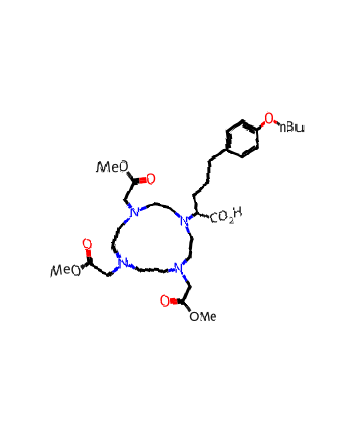 CCCCOc1ccc(CCCC(C(=O)O)N2CCN(CC(=O)OC)CCN(CC(=O)OC)CCN(CC(=O)OC)CC2)cc1